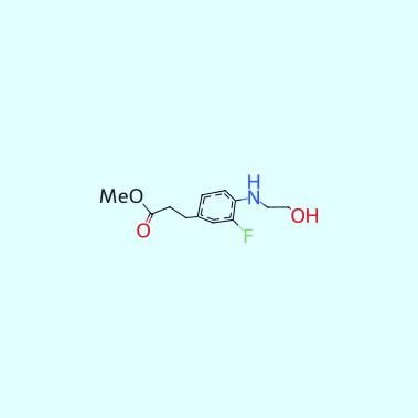 COC(=O)CCc1ccc(NCCO)c(F)c1